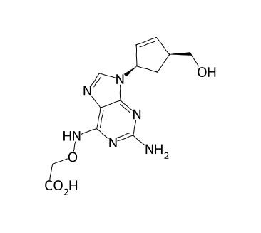 Nc1nc(NOCC(=O)O)c2ncn([C@H]3C=C[C@@H](CO)C3)c2n1